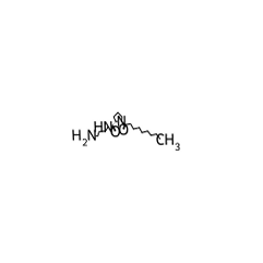 CCCCCCCCC(=O)N1CCC[C@H]1C(=O)NCCCN